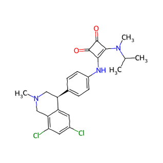 CC(C)N(C)c1c(Nc2ccc([C@@H]3CN(C)Cc4c(Cl)cc(Cl)cc43)cc2)c(=O)c1=O